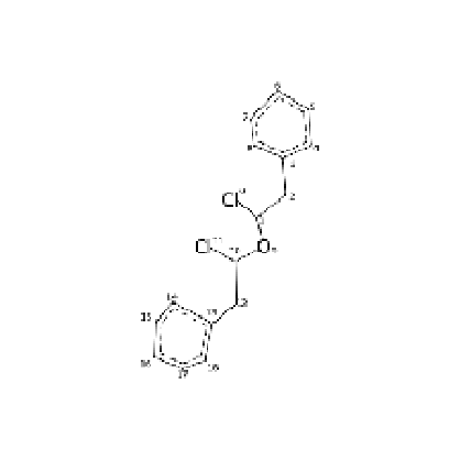 ClC(Cc1ccccc1)OC(Cl)Cc1ccccc1